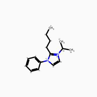 CCCCc1n(-c2ccccc2)cc[n+]1C(C)C